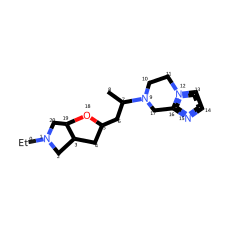 CCN1CC2CC(CC(C)N3CCn4ccnc4C3)OC2C1